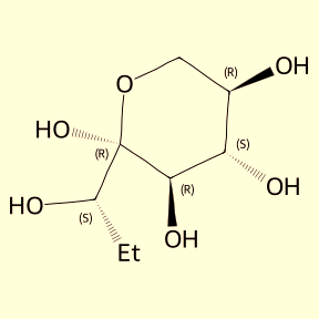 CC[C@H](O)[C@@]1(O)OC[C@@H](O)[C@H](O)[C@H]1O